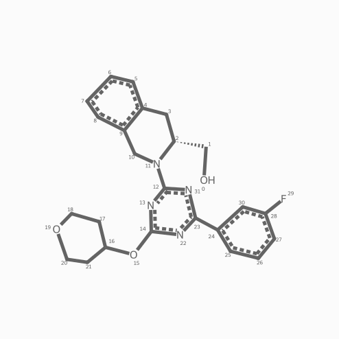 OC[C@H]1Cc2ccccc2CN1c1nc(OC2CCOCC2)nc(-c2cccc(F)c2)n1